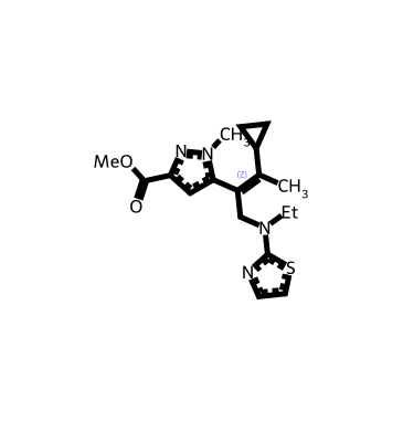 CCN(C/C(=C(\C)C1CC1)c1cc(C(=O)OC)nn1C)c1nccs1